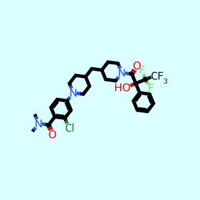 CN(C)C(=O)c1ccc(N2CCC(CC3CCN(C(=O)C(O)(c4ccccc4)C(F)(F)C(F)(F)F)CC3)CC2)cc1Cl